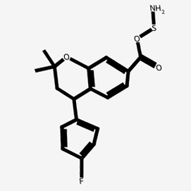 CC1(C)CC(c2ccc(F)cc2)c2ccc(C(=O)OSN)cc2O1